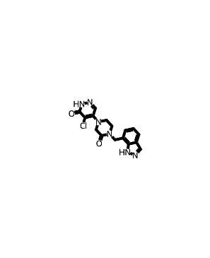 O=C1CN(c2cn[nH]c(=O)c2Cl)CCN1Cc1cccc2cn[nH]c12